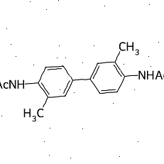 CC(=O)Nc1ccc(-c2ccc(NC(C)=O)c(C)c2)cc1C